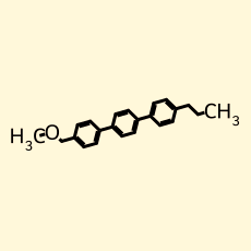 CCCc1ccc(-c2ccc(-c3ccc(COC)cc3)cc2)cc1